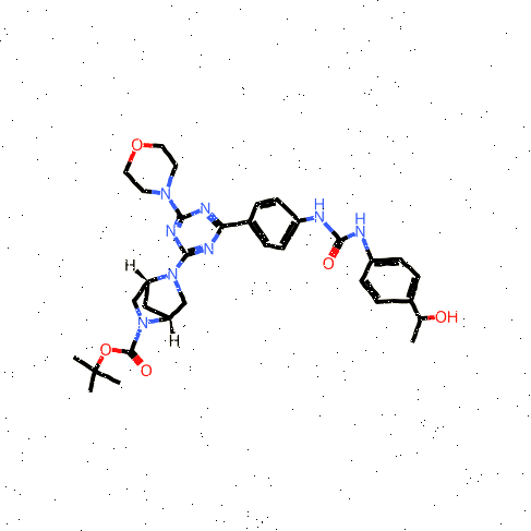 CC(O)c1ccc(NC(=O)Nc2ccc(-c3nc(N4CCOCC4)nc(N4C[C@H]5C[C@@H]4CN5C(=O)OC(C)(C)C)n3)cc2)cc1